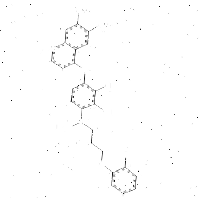 COc1cc2nccc(Oc3ccc(N(CCCOc4ccccc4F)C(=O)O)c(C)c3C)c2cc1OC